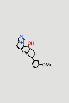 COc1cccc(C2CCC(C(O)c3c(C(C)C)ccc4cncn34)CC2)c1